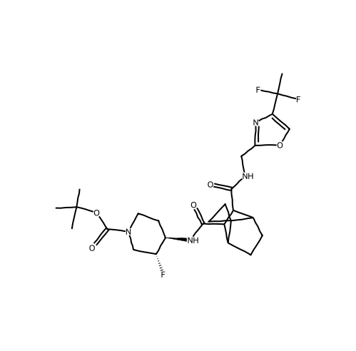 CC(C)(C)OC(=O)N1CC[C@@H](NC(=O)C2C(C(=O)NCc3nc(C(C)(F)F)co3)C3CCC2C32CC2)[C@H](F)C1